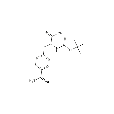 CC(C)(C)OC(=O)NC(Cc1ccc(C(=N)N)cc1)C(=O)O